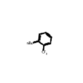 CCCCc1ccccc1C(F)(F)F